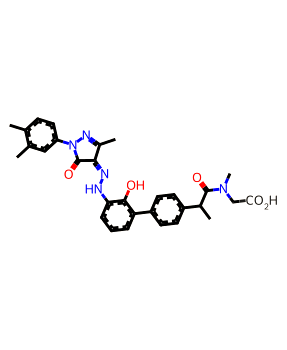 CC1=NN(c2ccc(C)c(C)c2)C(=O)/C1=N\Nc1cccc(-c2ccc(C(C)C(=O)N(C)CC(=O)O)cc2)c1O